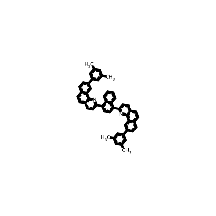 Cc1cc(C)cc(-c2ccc3ccc4ccc(-c5ccc(-c6ccc7ccc8ccc(-c9cc(C)cc(C)c9)cc8c7n6)c6ccccc56)nc4c3c2)c1